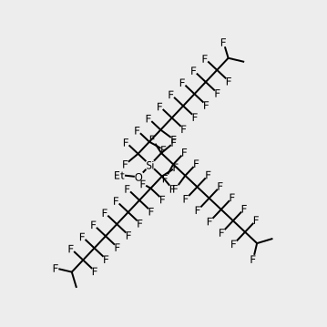 CCO[Si](C(F)(F)C(F)(F)C(F)(F)C(F)(F)C(F)(F)C(F)(F)C(F)(F)C(F)(F)C(C)F)(C(F)(F)C(F)(F)C(F)(F)C(F)(F)C(F)(F)C(F)(F)C(F)(F)C(F)(F)C(C)F)C(F)(F)C(F)(F)C(F)(F)C(F)(F)C(F)(F)C(F)(F)C(F)(F)C(F)(F)C(C)F